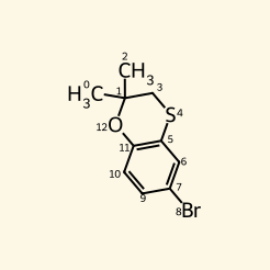 CC1(C)CSc2cc(Br)ccc2O1